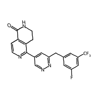 O=C1NCCc2c1ccnc2-c1cnnc(Cc2cc(F)cc(C(F)(F)F)c2)c1